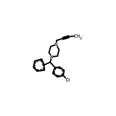 [CH2]C#CCN1CCN(C(c2ccccc2)c2ccc(Cl)cc2)CC1